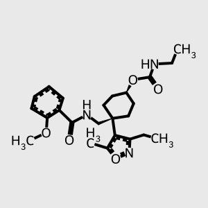 CCNC(=O)O[C@H]1CC[C@](CNC(=O)c2ccccc2OC)(c2c(CC)noc2C)CC1